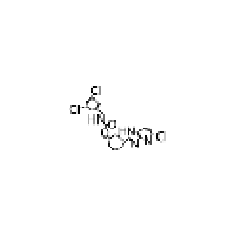 O=C(NCc1cc(Cl)cc(Cl)c1)OC1CCCC(c2nc3nc(Cl)ccc3[nH]2)C1